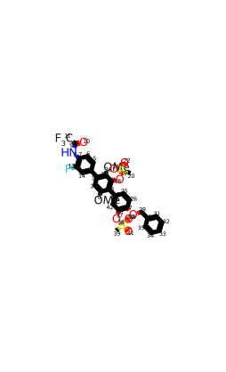 COc1cc(-c2ccc(NC(=O)C(F)(F)F)c(F)c2)c(OC)c(OS(C)(=O)=O)c1-c1ccc(OCc2ccccc2)c(OS(C)(=O)=O)c1